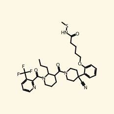 CCCC1C(C(=O)N2CCC(C#N)(c3ccccc3OCCCCC(=O)NSC)CC2)CCCN1C(=O)c1ncccc1C(F)(F)F